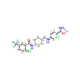 C=C(/C=C\C(Cl)=C(/N)OC)NC[C@H]1CC[C@H](NC(=O)c2cc(C(F)(F)F)ccc2Cl)CC1